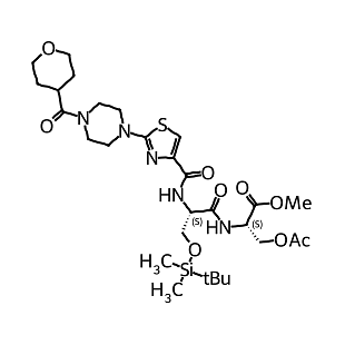 COC(=O)[C@H](COC(C)=O)NC(=O)[C@H](CO[Si](C)(C)C(C)(C)C)NC(=O)c1csc(N2CCN(C(=O)C3CCOCC3)CC2)n1